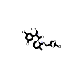 Cc1cccn(C(=O)/C(=C/O)c2cc(Cl)cc(Cl)c2)/c1=N/Cc1cnc(Cl)s1